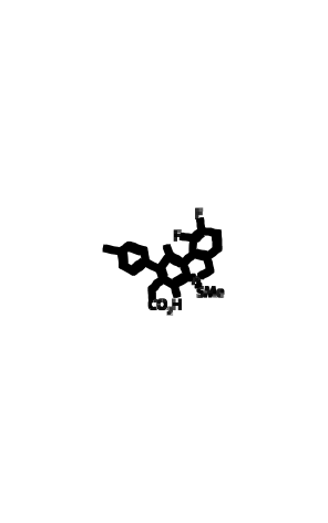 CSN1Cc2ccc(F)c(F)c2-c2c(C)c(-c3ccc(C)cc3)c(CC(=O)O)c(C)c21